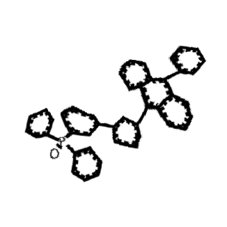 O=P(c1ccccc1)(c1ccccc1)c1cccc(-c2cccc(-c3c4ccccc4c(-c4ccccc4)c4ccccc34)c2)c1